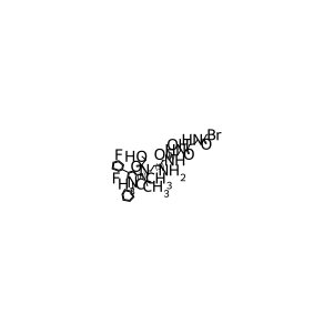 CC(C)(C)[C@H](c1cc(-c2cc(F)ccc2F)cn1Cc1ccccc1)N(CC[C@H](N)C(=O)N[C@@H](CO)CNC(=O)CCNC(=O)CBr)C(=O)CO